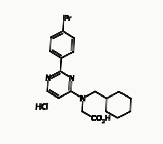 CC(C)c1ccc(-c2nccc(N(CC(=O)O)CC3CCCCC3)n2)cc1.Cl